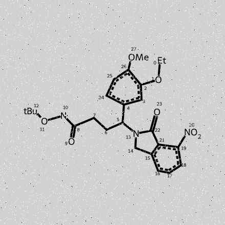 CCOc1cc(C(CCC(=O)[N]OC(C)(C)C)N2Cc3cccc([N+](=O)[O-])c3C2=O)ccc1OC